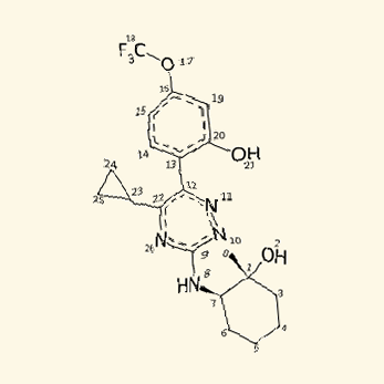 C[C@@]1(O)CCCC[C@H]1Nc1nnc(-c2ccc(OC(F)(F)F)cc2O)c(C2CC2)n1